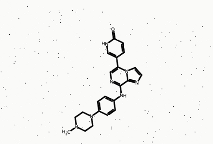 CN1CCN(c2ccc(Nc3ncc(-c4ccc(=O)[nH]c4)n4ccnc34)cc2)CC1